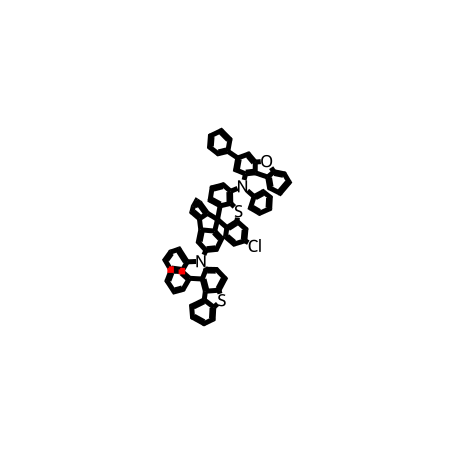 Clc1ccc2c(c1)Sc1c(N(c3ccccc3)c3cc(-c4ccccc4)cc4oc5ccccc5c34)cccc1C21c2ccccc2-c2cc(N(c3ccccc3)c3ccc4sc5ccccc5c4c3-c3ccccc3)ccc21